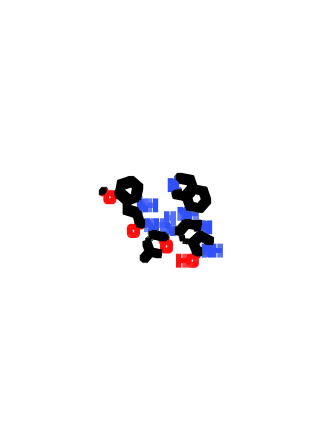 COc1cccc2[nH]c(C(=O)N[C@@H](CC(C)C)C(=O)N[C@@H](C[C@@H]3CCNC3O)C(C#N)N[C@H]3CCCc4ccncc43)cc12